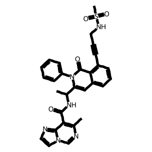 Cc1ncn2ccnc2c1C(=O)NC(C)c1cc2cccc(C#CCNS(C)(=O)=O)c2c(=O)n1-c1ccccc1